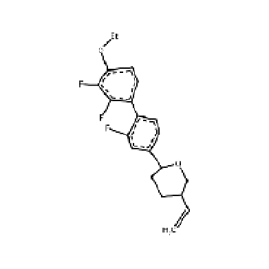 C=CC1CCC(c2ccc(-c3ccc(OCC)c(F)c3F)c(F)c2)OC1